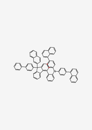 c1ccc(-c2ccc(C3(c4ccc5ccccc5c4)c4ccccc4-c4c(-c5ccccc5N(c5ccc(-c6cccc7ccccc67)cc5)c5ccc(-c6cccc7ccccc67)cc5)cccc43)cc2)cc1